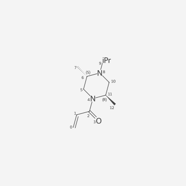 C=CC(=O)N1C[C@H](C)N(C(C)C)C[C@H]1C